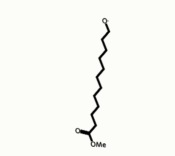 COC(=O)CCCCCCCCCCC[O]